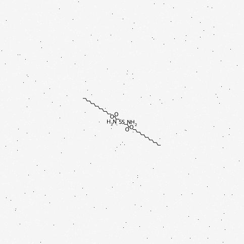 CCCCCCCCCCCCCCOC(=O)C(N)CSSC[C@H](N)C(=O)OCCCCCCCCCCCCCC